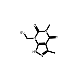 CCC(C)Cn1c(=O)n(C)c(=O)c2c(C)n[nH]c21